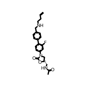 C=CCCNCc1ccc(-c2ccc(N3C[C@H](CNC(C)=O)OC3=O)cc2F)cc1